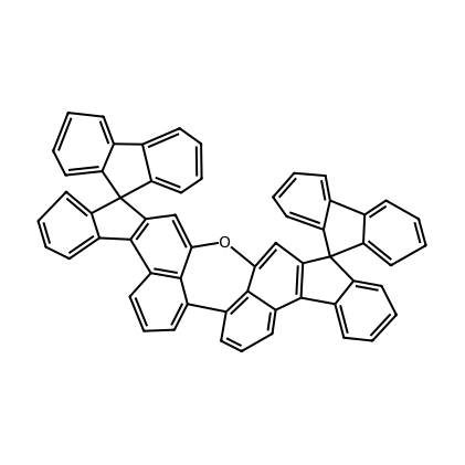 c1ccc2c(c1)-c1ccccc1C21c2ccccc2-c2c1cc1oc3cc4c(c5cccc(c6cccc2c16)c35)-c1ccccc1C41c2ccccc2-c2ccccc21